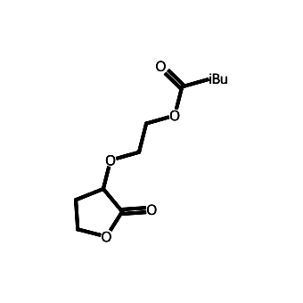 CCC(C)C(=O)OCCOC1CCOC1=O